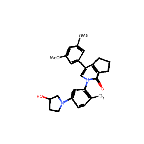 COc1cc(OC)cc(-c2cn(-c3cc(N4CCC(O)C4)ccc3C(F)(F)F)c(=O)c3c2CCC3)c1